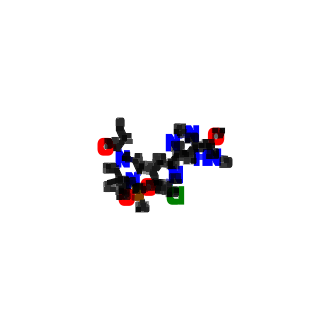 C=CC(=O)N1C[C@H](c2cc(Cl)nc(-c3cc(C(=O)NC)ncn3)c2)N(S(C)(=O)=O)C(C)(C)C1